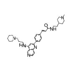 CN1CCC(CCNC(=O)/C=C/c2ccc(-c3cc(NCCCN4CCCCC4)c4cnccc4n3)cc2)CC1